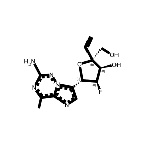 C=C[C@]1(CO)O[C@@H](c2cnc3c(C)nc(N)nn23)[C@H](F)[C@@H]1O